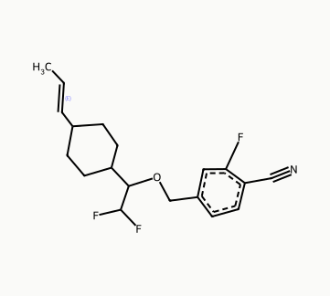 C/C=C/C1CCC(C(OCc2ccc(C#N)c(F)c2)C(F)F)CC1